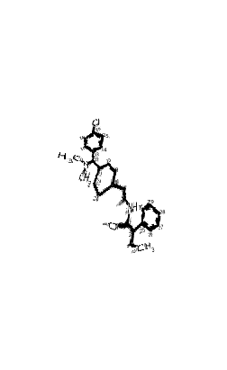 CCC(C(=O)NCCC1CCC(C(c2ccc(Cl)cc2)N(C)C)CC1)c1ccccc1